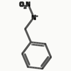 O=[N+]([O-])[N-]Cc1ccccc1